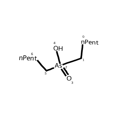 CCCCCC[As](=O)(O)CCCCCC